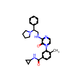 Cc1ccc(C(=O)NC2CC2)cc1-n1ccnc(NCC(c2ccccc2)N2CCCC2)c1=O